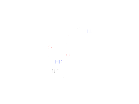 Cc1ncsc1COc1ccc2oc(C)c(C(=O)NCC3(C#N)CC3)c2c1